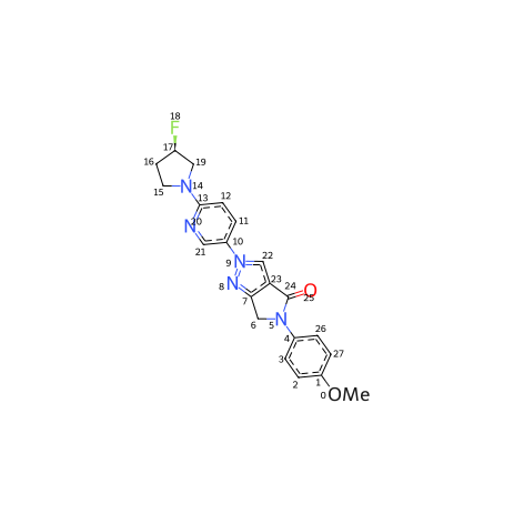 COc1ccc(N2Cc3nn(-c4ccc(N5CC[C@@H](F)C5)nc4)cc3C2=O)cc1